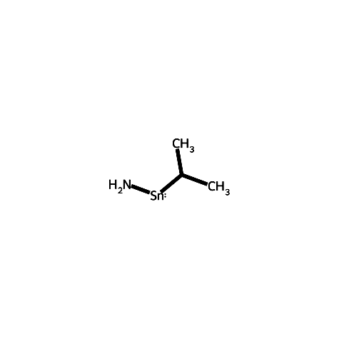 C[CH](C)[Sn][NH2]